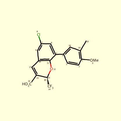 COc1ccc(-c2cc(Cl)cc3c2O[C@@H](C(F)(F)F)C(C(=O)O)=C3)cc1C